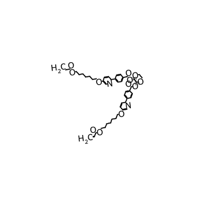 C=CC(=O)OCCCCCCCOc1ccc(-c2ccc(C(=O)O[C@@H]3OCCO[C@H]3OC(=O)c3ccc(-c4ccc(OCCCCCCCOC(=O)C=C)cn4)cc3)cc2)nc1